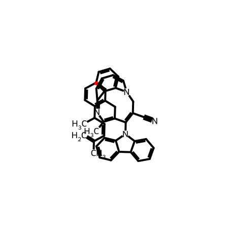 C=C(C)/C=C\C(C)C1=C(CC2=C(C)\N=C3\C=C/C=C\N(C/C(C#N)=C\2n2c4ccccc4c4ccccc42)c2ccccc23)CCC=C1